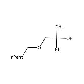 CCCCCCOCC(C)(O)CC